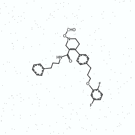 O=CON1CCC(c2ccc(CCCOc3cc(F)ccc3F)cc2)=C(C(=O)NCCCc2ccccc2)C1